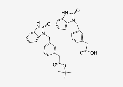 CC(C)(C)OC(=O)Cc1cccc(Cn2c(=O)[nH]c3ccccc32)c1.O=C(O)Cc1cccc(Cn2c(=O)[nH]c3ccccc32)c1